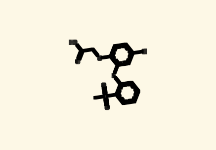 CS(=O)(=O)c1ccccc1Sc1cc(Cl)ccc1OCC(=O)O